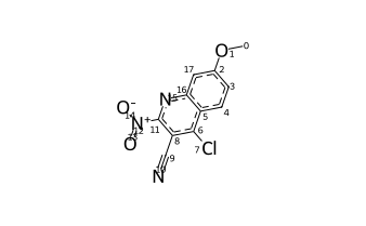 COc1ccc2c(Cl)c(C#N)c([N+](=O)[O-])nc2c1